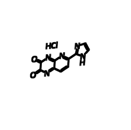 Cl.O=C1N=c2ccc(-c3ncc[nH]3)nc2=NC1=O